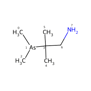 C[As](C)C(C)(C)CN